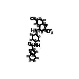 O=C(N[C@H]1CC[C@@H](Nc2cc(C(F)(F)F)nc3ccc(Cl)cc23)CC1)c1cc2c(s1)CCCC2